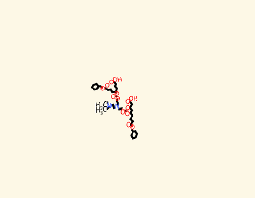 CCN(CC)CCN(CCOC(=O)OC(CCCC(=O)O)CCCC(=O)OCC1CCCCC1)CCOC(=O)OC(CCCC(=O)O)CCCC(=O)OCC1CCCCC1